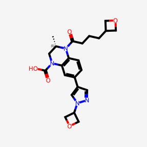 C[C@H]1CN(C(=O)O)c2cc(-c3cnn(C4COC4)c3)ccc2N1C(=O)CCCC1COC1